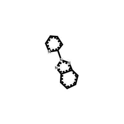 c1ccc(-n2nc3ccccc3n2)nc1